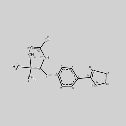 CC(C)(C)C(Cc1ccc(C2=NCCN2)cc1)NC(=O)O